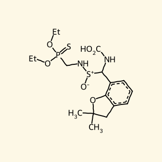 CCOP(=S)(CN[S+]([O-])C(NC(=O)O)c1cccc2c1OC(C)(C)C2)OCC